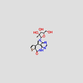 C[C@]1(O)C(n2cc3c4c(ncnc42)NC(=O)c2sccc2-3)O[C@H](CO)[C@H]1O